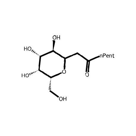 CCCCCC(=O)CC1O[C@H](CO)[C@H](O)[C@H](O)[C@H]1O